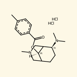 Cc1ccc(C(=O)O[C@@H]2C3CC[C@H](N(C)C)C2CN(C)C3)cc1.Cl.Cl